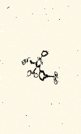 COC(=O)c1c(CBr)nc(-c2ccccc2)nc1-c1cccc([N+](=O)[O-])c1